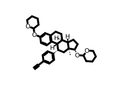 C#Cc1ccc([C@H]2C[C@]3(C)[C@@H](OC4CCCCO4)CC[C@H]3[C@@H]3CCc4cc(OC5CCCCO5)ccc4[C@H]32)cc1